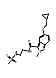 Cn1nc2ccc(OCC3CC3)cc2c1C(=O)NCCNS(C)(=O)=O